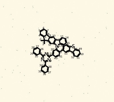 CC1(C)c2ccccc2-c2cc3c4ccccc4n(-c4cc(-c5nc(-c6ccccc6)nc(-c6ccccc6)n5)ccc4-c4ccc5sc6ccccc6c5c4)c3cc21